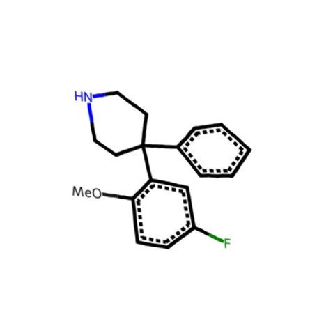 COc1ccc(F)cc1C1(c2ccccc2)CCNCC1